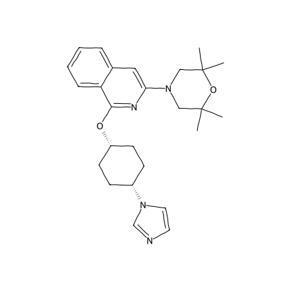 CC1(C)CN(c2cc3ccccc3c(O[C@H]3CC[C@@H](n4ccnc4)CC3)n2)CC(C)(C)O1